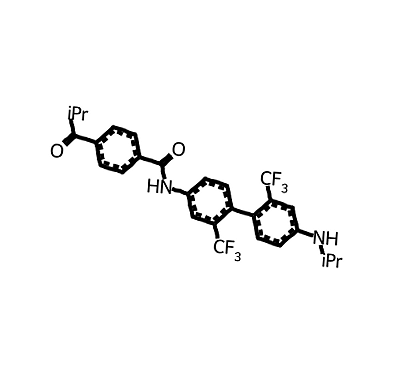 CC(C)Nc1ccc(-c2ccc(NC(=O)c3ccc(C(=O)C(C)C)cc3)cc2C(F)(F)F)c(C(F)(F)F)c1